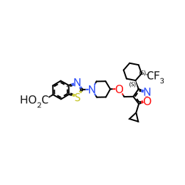 O=C(O)c1ccc2nc(N3CCC(OCc4c([C@H]5CCCC[C@@H]5C(F)(F)F)noc4C4CC4)CC3)sc2c1